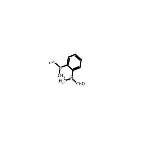 CCCN(C)c1ccccc1N(C)C=O